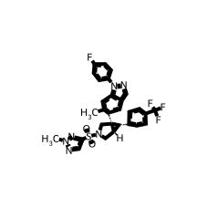 Cc1cc2c(cnn2-c2ccc(F)cc2)cc1[C@@]12CN(S(=O)(=O)c3cnn(C)n3)C[C@@H]1[C@H]2c1ccc(C(F)(F)F)cc1